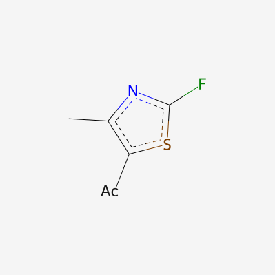 CC(=O)c1sc(F)nc1C